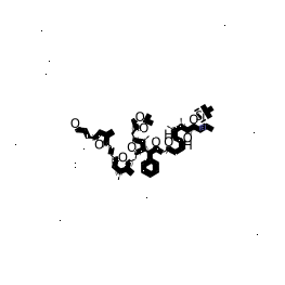 C=C1C[C@H](CCC=O)O[C@H]1CC[C@H]1C[C@@H](C)C(=C)[C@@H](C[C@@H]2O[C@H](C[C@H]3COC(C)(C)O3)[C@H](C)[C@H]2C(C(=O)C[C@H]2CC[C@@H]3O[C@@H]([C@H](/C=C/C)O[Si](C)(C)C(C)(C)C)[C@@H](C)[C@@H](C)[C@H]3O2)c2ccccc2)O1